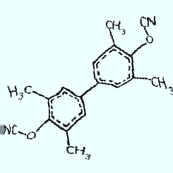 Cc1cc(-c2cc(C)c(OC#N)c(C)c2)cc(C)c1OC#N